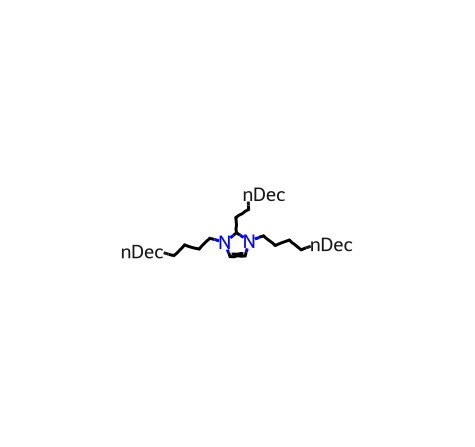 CCCCCCCCCCCCCCN1C=CN(CCCCCCCCCCCCCC)C1CCCCCCCCCCCC